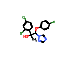 CC(O)(c1ccc(Cl)cc1Cl)C(Oc1ccc(Cl)cc1)n1cncn1